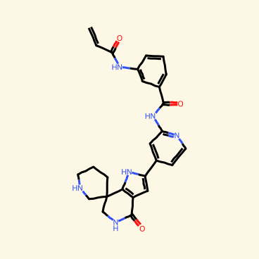 C=CC(=O)Nc1cccc(C(=O)Nc2cc(-c3cc4c([nH]3)C3(CCCNC3)CNC4=O)ccn2)c1